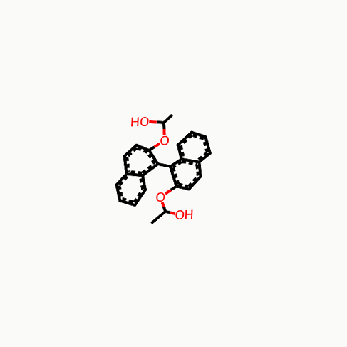 CC(O)Oc1ccc2ccccc2c1-c1c(OC(C)O)ccc2ccccc12